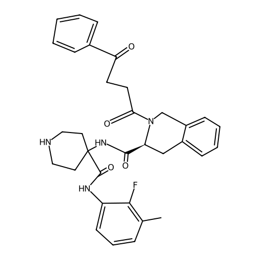 Cc1cccc(NC(=O)C2(NC(=O)[C@@H]3Cc4ccccc4CN3C(=O)CCC(=O)c3ccccc3)CCNCC2)c1F